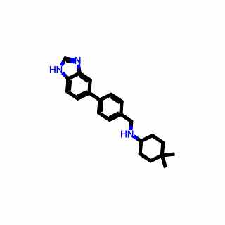 CC1(C)CCC(NCc2ccc(-c3ccc4[nH]cnc4c3)cc2)CC1